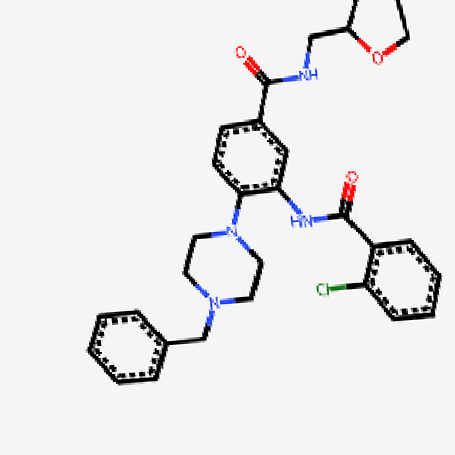 O=C(NCC1CCCO1)c1ccc(N2CCN(Cc3ccccc3)CC2)c(NC(=O)c2ccccc2Cl)c1